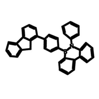 c1ccc(N2B(c3ccc(-c4cccc5c4Cc4ccccc4-5)cc3)c3ccccc3-c3ccccc32)cc1